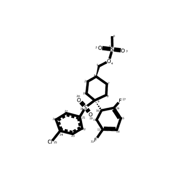 CS(=O)(=O)OC[C@H]1CC[C@@](C2CC(F)=CC=C2F)(S(=O)(=O)c2ccc(Cl)cc2)CC1